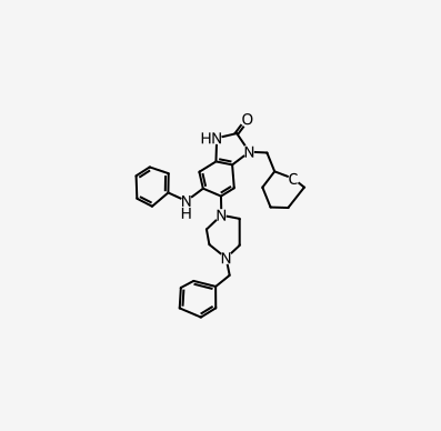 O=c1[nH]c2cc(Nc3ccccc3)c(N3CCN(Cc4ccccc4)CC3)cc2n1CC1CCCCC1